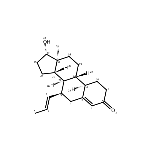 C/C=C/[C@@H]1CC2=CC(=O)CC[C@@H]2[C@H]2CC[C@]3(C)[C@@H](O)CC[C@H]3[C@@H]21